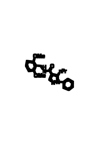 CCCc1c(C(=O)NCc2c(OC)cccc2OC)cnn1-c1ccccc1